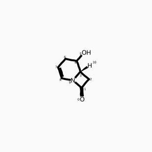 O=C1C[C@H]2C(O)CC=CN12